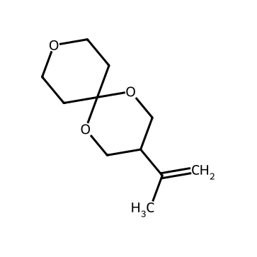 C=C(C)C1COC2(CCOCC2)OC1